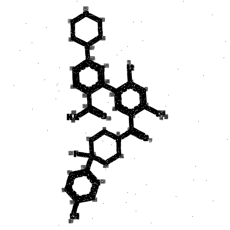 CCc1cc(C)c(C(=O)N2CCC(F)(c3ccc(C#N)cn3)CC2)cc1-c1nc(N2CCOCC2)ccc1C(N)=O